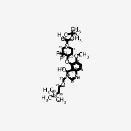 COc1ccc2c(c1OC1CCN(C(=O)OC(C)(C)C)CC1(F)F)C(O)N(COCC[Si](C)(C)C)C=N2